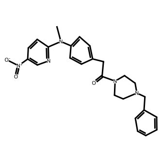 CN(c1ccc(CC(=O)N2CCN(Cc3ccccc3)CC2)cc1)c1ccc([N+](=O)[O-])cn1